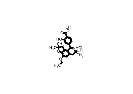 CCOc1cc2c(c3c1OC(C)(C)C3)C(c1ccc(C(=O)OC)c(O)c1)=NC(C)(C)C2.Cl